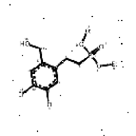 CCOP(=O)(CCc1cc(Cl)c(Cl)cc1CO)OCC